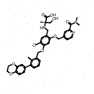 Cc1c(COc2cc(OCc3ccnc(C(=O)N(C)C)c3)c(CN[C@@](C)(CO)C(=O)O)cc2Cl)cccc1-c1ccc2c(c1)OCCO2